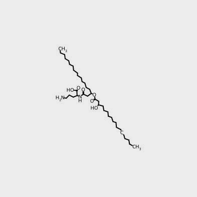 CCCCCCCCCCCCCCCC(O)CC(=O)OC(CCCCCCCCCCCCCCC)CC(=O)NC(CCCN)C(=O)O